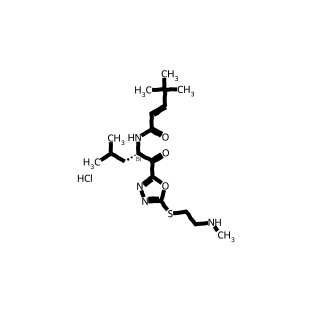 CNCCSc1nnc(C(=O)[C@H](CC(C)C)NC(=O)C=CC(C)(C)C)o1.Cl